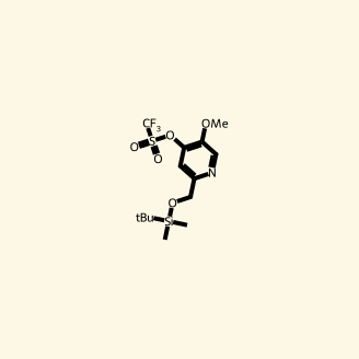 COc1cnc(CO[Si](C)(C)C(C)(C)C)cc1OS(=O)(=O)C(F)(F)F